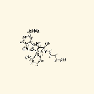 CC(=O)Nc1cc(-c2nc(C(=O)NCCCCO)c(-c3ccccc3Cl)o2)c(C)cn1